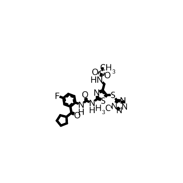 Cn1nnnc1Sc1sc(NC(=O)Nc2ccc(F)cc2C(=O)C2CCCC2)nc1CNS(C)(=O)=O